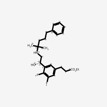 CCOC(=O)CCc1cc(F)c(F)c([C@H](O)CNC(C)(C)CCCc2ccccc2)c1